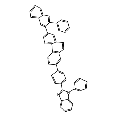 c1ccc(-c2cc3ccccc3cc2-c2ccc3c(ccc4cc(-c5ccc(-c6nc7ccccc7n6-c6ccccc6)cc5)ccc43)c2)cc1